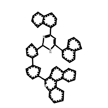 C1=C(c2cccc3ccccc23)NC(c2cccc(-c3cccc(-c4nc5ccccc5c5c4ccc4ccccc45)c3)c2)N=C1c1cccc2ccccc12